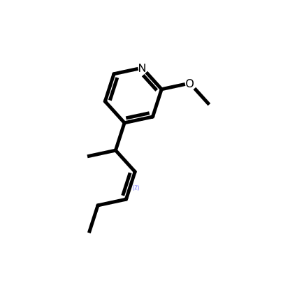 CC/C=C\C(C)c1ccnc(OC)c1